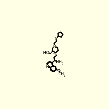 COc1ccc2nccc(C(N)CC[C@@H]3CCN(CCSC4CCCC4)C[C@@H]3CO)c2c1